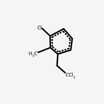 Cc1c(Cl)cccc1CC(Cl)(Cl)Cl